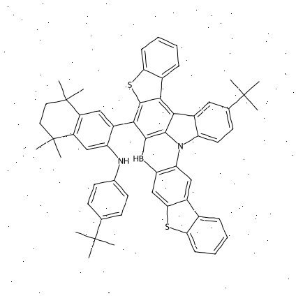 CC(C)(C)c1ccc(Nc2cc3c(cc2-c2c4c5c(c6cc(C(C)(C)C)ccc6n5-c5cc6c(cc5B4)sc4ccccc46)c4c2sc2ccccc24)C(C)(C)CCC3(C)C)cc1